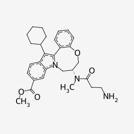 COC(=O)c1ccc2c(C3CCCCC3)c3n(c2c1)C[C@@H](N(C)C(=O)CCN)COc1ccccc1-3